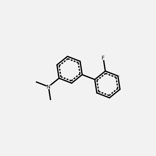 CN(C)c1cccc(-c2ccc[c]c2F)c1